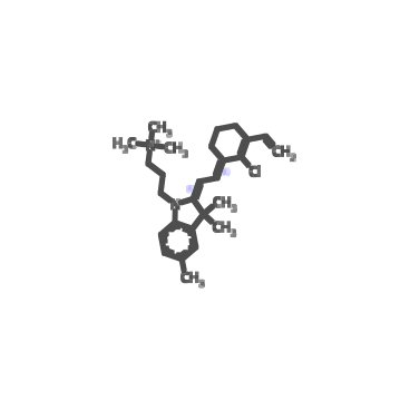 C=CC1=C(Cl)/C(=C/C=C2/N(CCC[N+](C)(C)C)c3ccc(C)cc3C2(C)C)CCC1